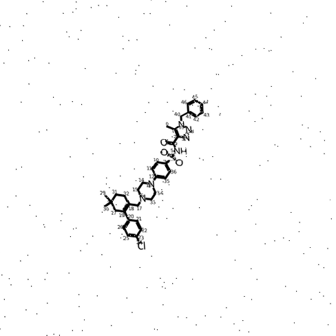 Cc1c(C(=O)NS(=O)(=O)c2ccc(N3CCN(CC4=C(c5ccc(Cl)cc5)CC(C)(C)CC4)CC3)cc2)nnn1Cc1ccccc1